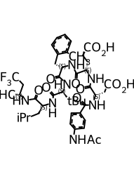 CC(=O)Nc1ccc(C(=O)N[C@@H](CC(=O)O)C(=O)N[C@@H](CCC(=O)O)C(=O)N[C@@H](Cc2ccccc2C)C(=O)N[C@H](C(=O)N[C@@H](CC(C)C)C(=O)N[C@H](C=O)CC(F)(F)F)C(C)(C)C)cc1